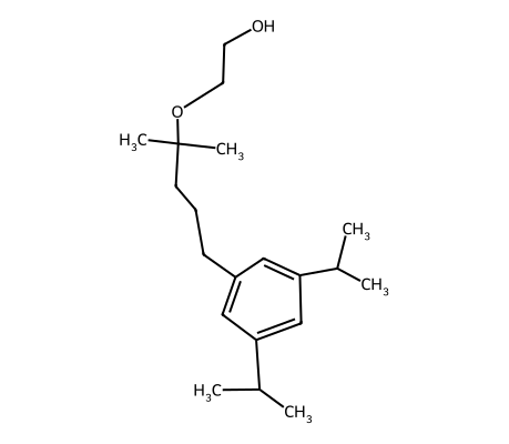 CC(C)c1cc(CCCC(C)(C)OCCO)cc(C(C)C)c1